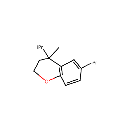 CC(C)c1ccc2c(c1)C(C)(C(C)C)CCO2